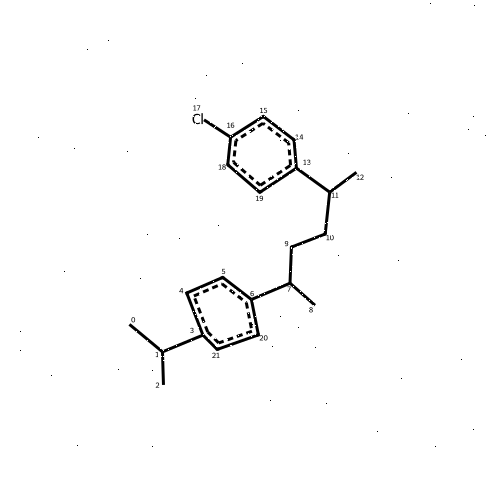 CC(C)c1ccc(C(C)CCC(C)c2ccc(Cl)cc2)cc1